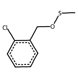 CSOCc1ccccc1Cl